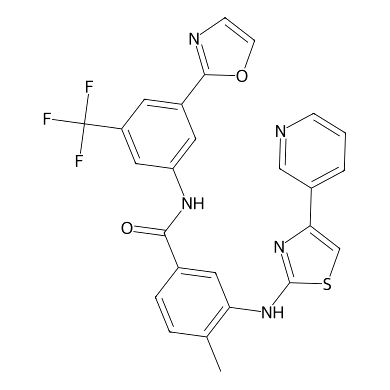 Cc1ccc(C(=O)Nc2cc(-c3ncco3)cc(C(F)(F)F)c2)cc1Nc1nc(-c2cccnc2)cs1